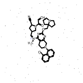 C=CC(=O)N1CC(/C=[N+](/C)c2nc(OCC34CCCN3CCC4)nc3c2CCN(c2cccc4cccc(Cl)c24)C3)CC1C#N